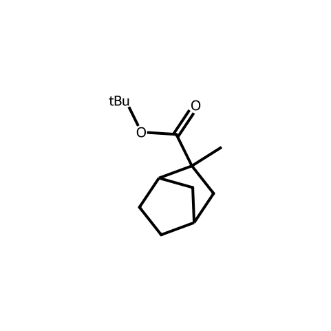 CC(C)(C)OC(=O)C1(C)CC2CCC1C2